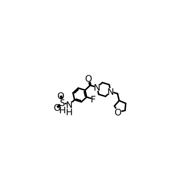 O=C(c1ccc(N[SH](=O)=O)cc1F)N1CCN(CC2CCOC2)CC1